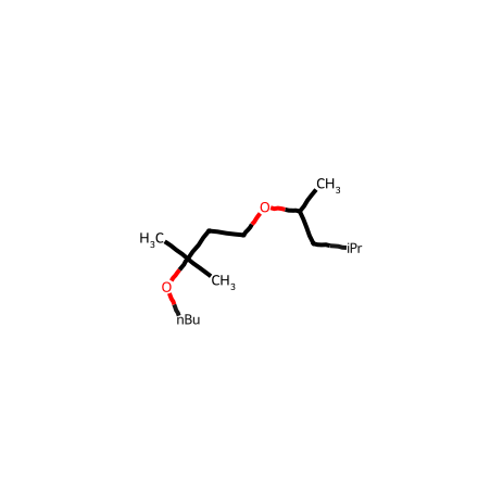 CCCCOC(C)(C)CCOC(C)CC(C)C